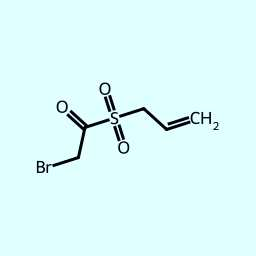 C=CCS(=O)(=O)C(=O)CBr